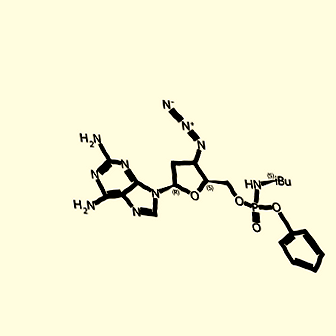 CC[C@H](C)NP(=O)(OC[C@H]1O[C@@H](n2cnc3c(N)nc(N)nc32)CC1N=[N+]=[N-])Oc1ccccc1